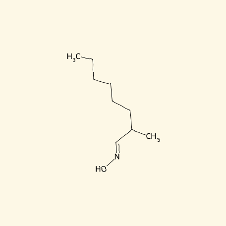 CCCCCCC(C)C=NO